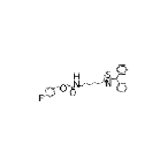 O=C(COCc1ccc(F)cc1)NCCCCCc1csc(C(c2ccccc2)c2ccccc2)n1